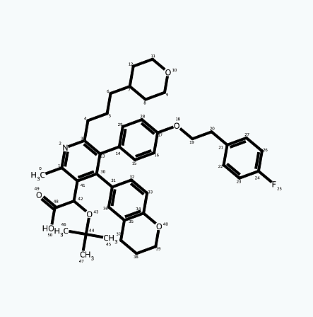 Cc1nc(CCCC2CCOCC2)c(-c2ccc(OCCc3ccc(F)cc3)cc2)c(-c2ccc3c(c2)CCCO3)c1C(OC(C)(C)C)C(=O)O